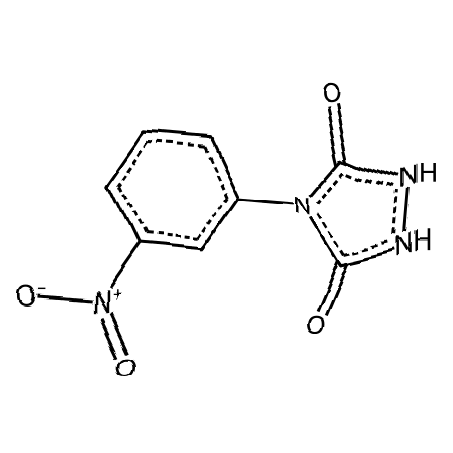 O=c1[nH][nH]c(=O)n1-c1cccc([N+](=O)[O-])c1